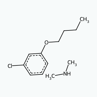 CCCCOc1cccc(Cl)c1.CNC